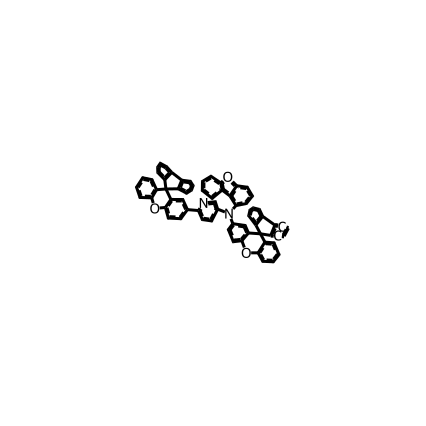 c1ccc2c(c1)Oc1ccc(-c3ccc(N(c4ccc5c(c4)C4(c6ccccc6O5)c5ccccc5-c5ccccc54)c4cccc5oc6ccccc6c45)cn3)cc1C21c2ccccc2-c2ccccc21